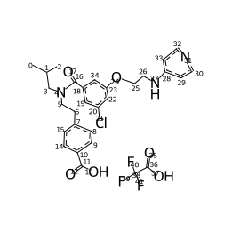 CC(C)CN(CCc1ccc(C(=O)O)cc1)C(=O)c1cc(Cl)cc(OCCNc2ccncc2)c1.O=C(O)C(F)(F)F